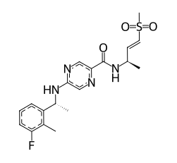 Cc1c(F)cccc1[C@@H](C)Nc1cnc(C(=O)N[C@H](C)/C=C/S(C)(=O)=O)cn1